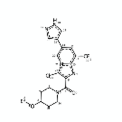 CCOC1CCN(C(=O)c2nc3c(C(F)(F)F)cc(-c4cn[nH]c4)cn3c2Cl)CC1